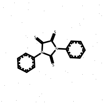 S=C1C(=S)N(c2ccccc2)C(=S)N1c1ccccc1